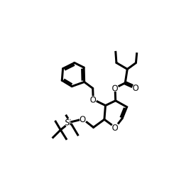 CCC(CC)C(=O)OC1C=COC(CO[Si](C)(C)C(C)(C)C)C1OCc1ccccc1